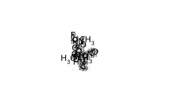 CNC(=O)c1c(-c2ccc(F)cc2)oc2cc(N(C)S(C)(=O)=O)c(-c3cc(N4CCOCC4)cc(-c4cc5ccccc5[nH]4)n3)cc12